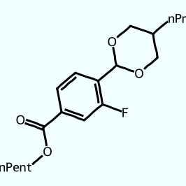 CCCCCOC(=O)c1ccc(C2OCC(CCC)CO2)c(F)c1